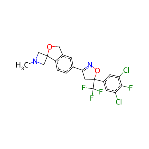 CN1CC2(C1)OCc1cc(C3=NOC(c4cc(Cl)c(F)c(Cl)c4)(C(F)(F)F)C3)ccc12